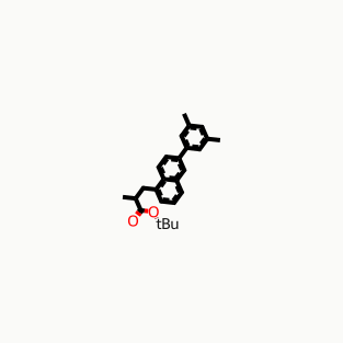 Cc1cc(C)cc(-c2ccc3c(CC(C)C(=O)OC(C)(C)C)cccc3c2)c1